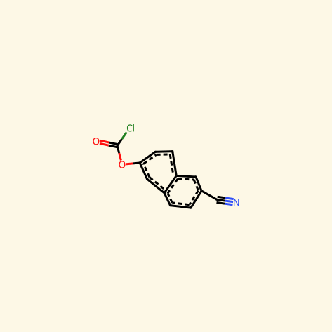 N#Cc1ccc2cc(OC(=O)Cl)ccc2c1